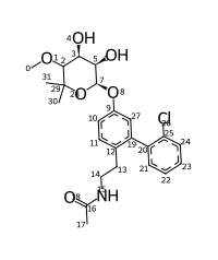 COC1[C@@H](O)[C@@H](O)[C@@H](Oc2ccc(CCNC(C)=O)c(-c3ccccc3Cl)c2)OC1(C)C